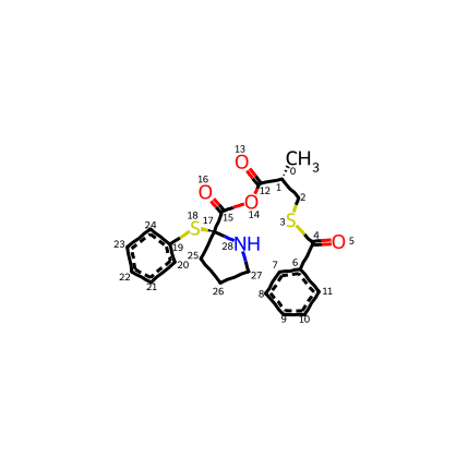 C[C@H](CSC(=O)c1ccccc1)C(=O)OC(=O)[C@@]1(Sc2ccccc2)CCCN1